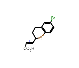 O=C(O)/C=C/C1CCc2cc(Br)ccc2S1